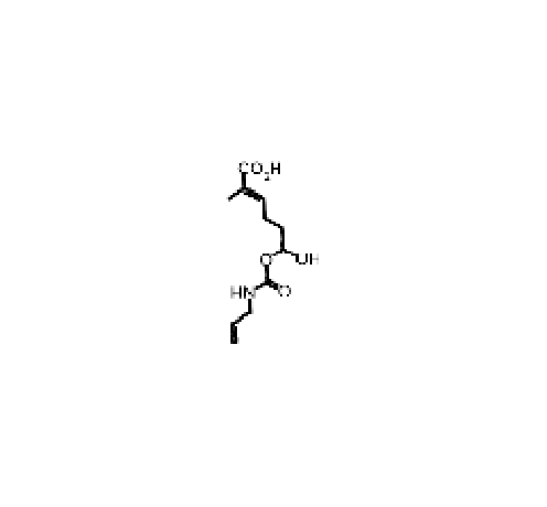 C=CCNC(=O)OC(O)CCC=C(C)C(=O)O